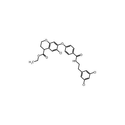 CCOC(=O)C1CCOc2cc(Oc3ccc(C(=O)NCCc4cc(Cl)cc(Cl)c4)cc3)c(Cl)cc21